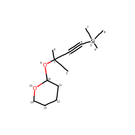 CC(C)(C#C[Si](C)(C)C)OC1CCCCO1